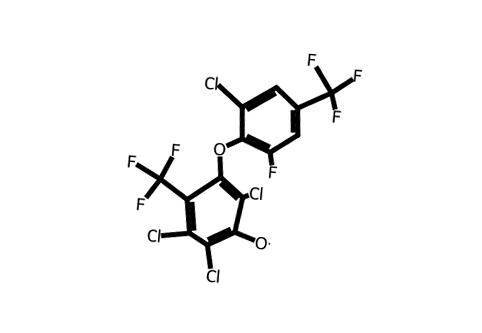 [O]c1c(Cl)c(Cl)c(C(F)(F)F)c(Oc2c(F)cc(C(F)(F)F)cc2Cl)c1Cl